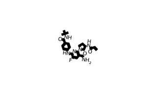 C=CC(=O)N[C@H]1CCN(c2nc(Nc3ccc(C(=O)NC(C)(C)C)cc3)c(F)cc2C(N)=O)C1